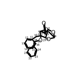 CC1C2OC3OC(C2=O)C(Cc2ccccc2)(OCc2ccccc2)C1O3